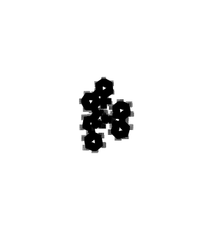 CC1(C)c2ccccc2-c2cccc(-c3nc(-n4c5ccccc5c5ccccc54)nc4c3ccn4-c3ccccc3)c21